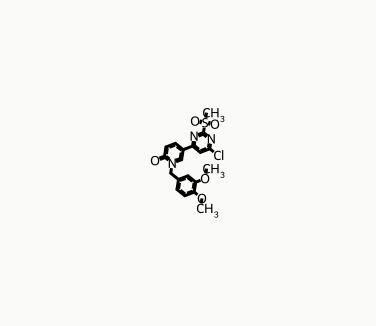 COc1ccc(Cn2cc(-c3cc(Cl)nc(S(C)(=O)=O)n3)ccc2=O)cc1OC